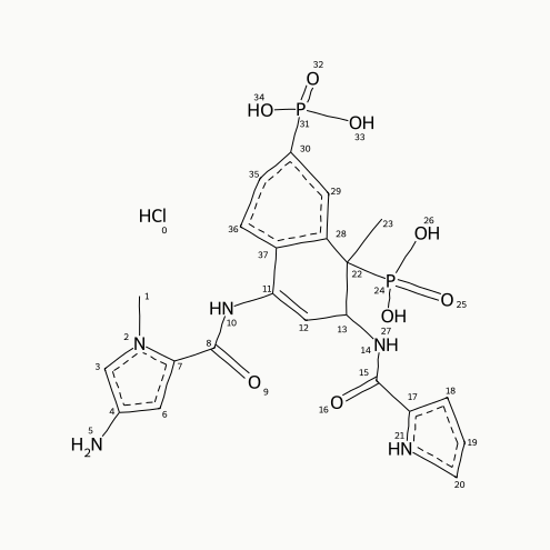 Cl.Cn1cc(N)cc1C(=O)NC1=CC(NC(=O)c2ccc[nH]2)C(C)(P(=O)(O)O)c2cc(P(=O)(O)O)ccc21